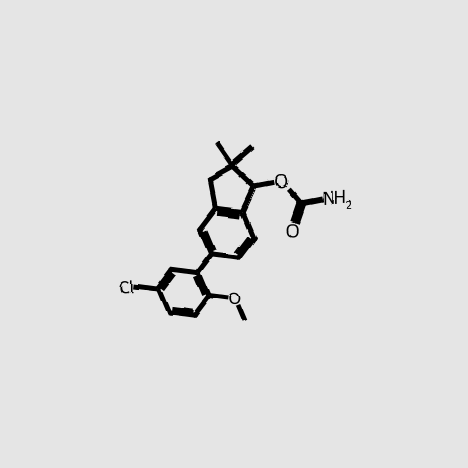 COc1ccc(Cl)cc1-c1ccc2c(c1)CC(C)(C)C2OC(N)=O